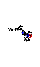 CCC(=O)N(c1ccccc1)C1CCN(CCc2cccc(OC)c2)CC1